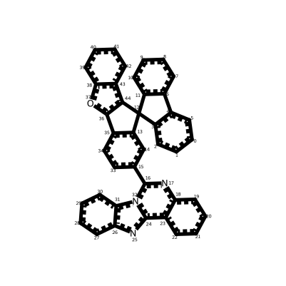 c1ccc2c(c1)-c1ccccc1C21c2cc(-c3nc4ccccc4c4nc5ccccc5n34)ccc2-c2oc3ccccc3c21